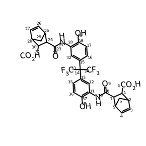 O=C(O)C1C2C=CC(C2)C1C(=O)Nc1cc(C(c2ccc(O)c(NC(=O)C3C4C=CC(C4)C3C(=O)O)c2)(C(F)(F)F)C(F)(F)F)ccc1O